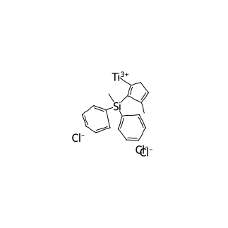 CC1=CC[C]([Ti+3])=C1[Si](C)(c1ccccc1)c1ccccc1.[Cl-].[Cl-].[Cl-]